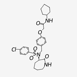 O=C(COc1ccc(CN([C@@H]2CCCCNC2=O)S(=O)(=O)c2ccc(Cl)cc2)cc1)NC1CCCCC1